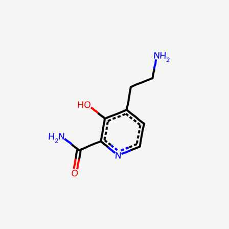 NCCc1ccnc(C(N)=O)c1O